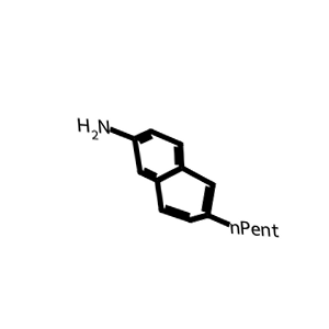 CCCCCc1ccc2cc(N)ccc2c1